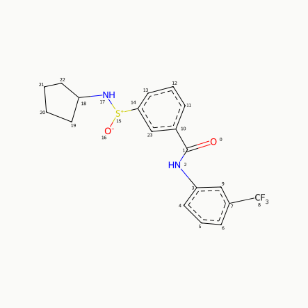 O=C(Nc1cccc(C(F)(F)F)c1)c1cccc([S+]([O-])NC2CCCC2)c1